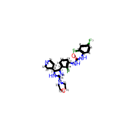 O=C(Nc1ccc(F)cc1F)Nc1cccc(-c2nc(N3CCOCC3)[nH]c2-c2ccncc2)c1F